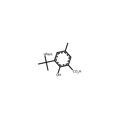 CCCCCC(C)(C)c1cc(C)cc(C(=O)O)c1O